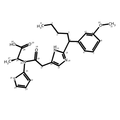 CCCCC(c1cccc(OC)c1)c1ncc(CC(=O)N(c2cccs2)[C@@H](C)C(=O)O)[nH]1